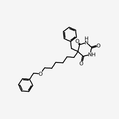 O=C1NC(=O)C(CCCCCCOCc2ccccc2)(Cc2ccccc2)C(=O)N1